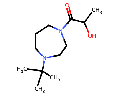 CC(O)C(=O)N1CCCN(C(C)(C)C)CC1